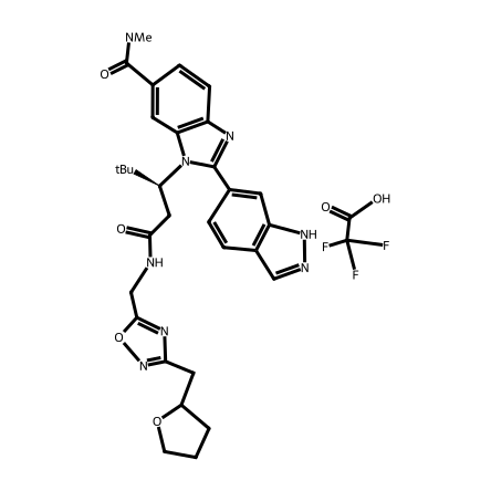 CNC(=O)c1ccc2nc(-c3ccc4cn[nH]c4c3)n([C@@H](CC(=O)NCc3nc(CC4CCCO4)no3)C(C)(C)C)c2c1.O=C(O)C(F)(F)F